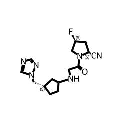 N#C[C@@H]1C[C@H](F)CN1C(=O)CNC1CC[C@H](Cn2cncn2)C1